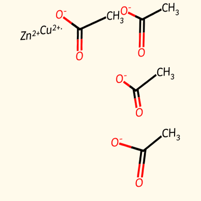 CC(=O)[O-].CC(=O)[O-].CC(=O)[O-].CC(=O)[O-].[Cu+2].[Zn+2]